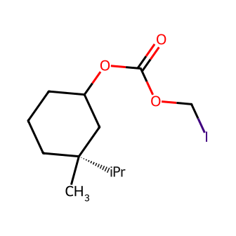 CC(C)[C@]1(C)CCCC(OC(=O)OCI)C1